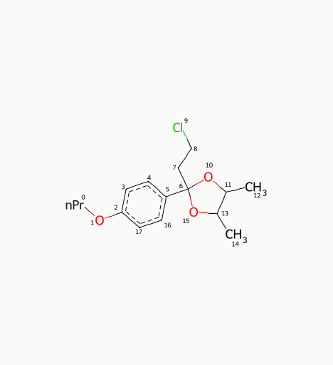 CCCOc1ccc(C2(CCCl)OC(C)C(C)O2)cc1